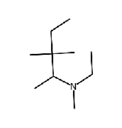 CCN(C)C(C)C(C)(C)CC